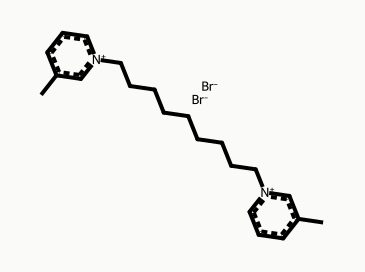 Cc1ccc[n+](CCCCCCCCC[n+]2cccc(C)c2)c1.[Br-].[Br-]